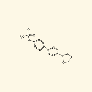 O=S(=O)(Oc1ccc(-c2ccc(C3OCCO3)cn2)cc1)C(F)(F)F